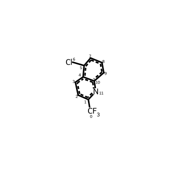 FC(F)(F)c1ccc2c(Cl)cccc2n1